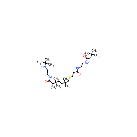 C[C@H](C(=O)NCCNC(C)(C)C)C(C)(C)CCC(C)(C)CSCCC(=O)NCCNC(=O)CC(C)(C)C